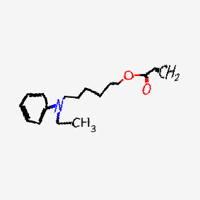 C=CC(=O)OCCCCCCN(CC)c1ccccc1